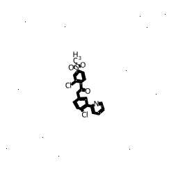 CS(=O)(=O)c1ccc(C(=O)Cc2ccc(Cl)c(-c3ccccn3)c2)c(Cl)c1